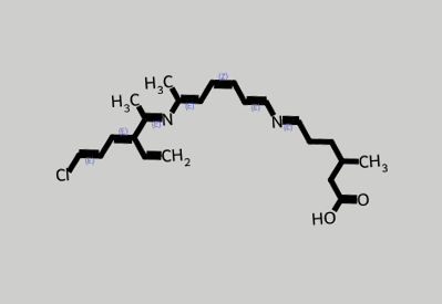 C=CC(=C\C=C\Cl)/C(C)=N/C(C)=C/C=C\C=C\N=C\CCC(C)CC(=O)O